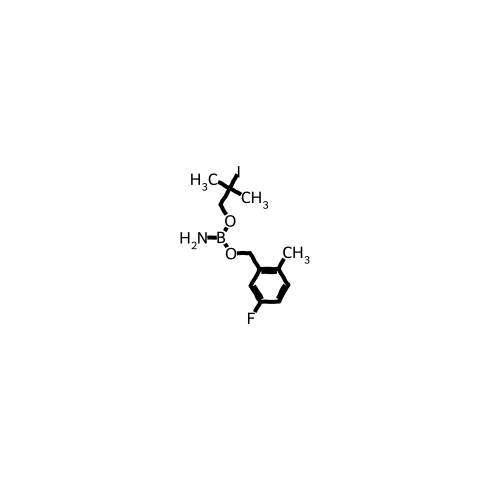 Cc1ccc(F)cc1COB(N)OCC(C)(C)I